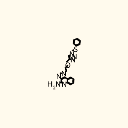 Nc1nc2ccccc2c2c1ncn2CCOCc1cn(CSc2ccccc2)nn1